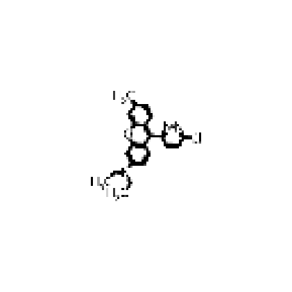 C=c1ccc2c(c1)Oc1cc(N(CC)CC)ccc1C=2c1ccc(Cl)nn1